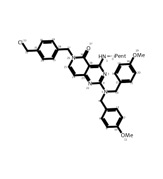 CCC[C@@H](C)Nc1nc(N(Cc2ccc(OC)cc2)Cc2ccc(OC)cc2)nc2ccn(Cc3ccc(CCl)cc3)c(=O)c12